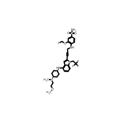 COCCN(C)[C@H]1CC[C@@H](Nc2cccc3c2cc(C#CCNc2ccc(S(N)(=O)=O)cc2OCF)n3CC(F)(F)F)CC1